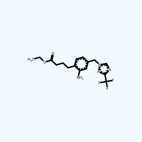 CCOC(=O)CCCc1ccc(Cn2cnc(C(F)(F)F)n2)cc1N